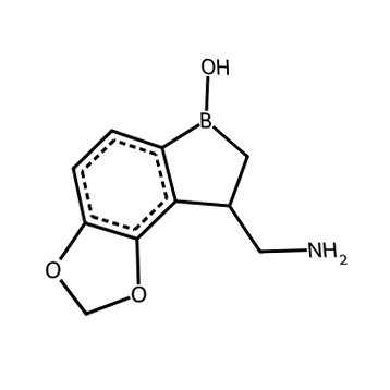 NCC1CB(O)c2ccc3c(c21)OCO3